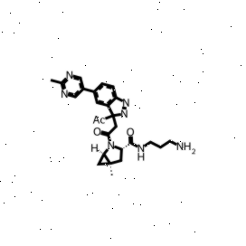 CC(=O)C1(CC(=O)N2[C@H](C(=O)NCCCN)C[C@@]3(C)C[C@@H]23)N=Nc2ccc(-c3cnc(C)nc3)cc21